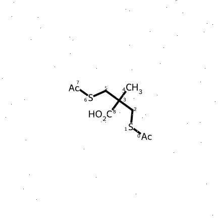 CC(=O)SCC(C)(CSC(C)=O)C(=O)O